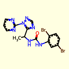 CC(NC(=O)Nc1cc(Br)ccc1Br)c1ncnn1-c1ncccn1